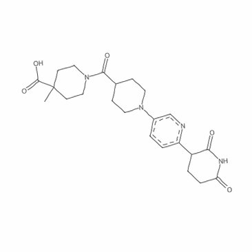 CC1(C(=O)O)CCN(C(=O)C2CCN(c3ccc(C4CCC(=O)NC4=O)nc3)CC2)CC1